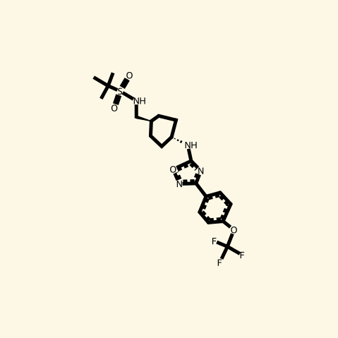 CC(C)(C)S(=O)(=O)NC[C@H]1CC[C@H](Nc2nc(-c3ccc(OC(F)(F)F)cc3)no2)CC1